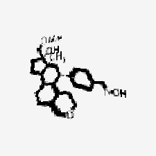 COC[C@]1(O)CCC2C3CCC4=COCCC4=C3[C@@H](c3ccc(C=NO)cc3)C[C@@]21C